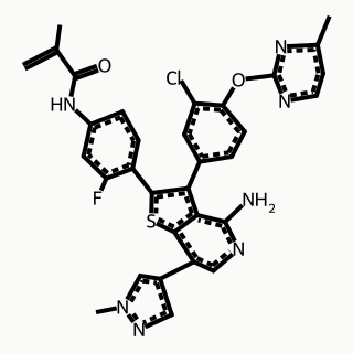 C=C(C)C(=O)Nc1ccc(-c2sc3c(-c4cnn(C)c4)cnc(N)c3c2-c2ccc(Oc3nccc(C)n3)c(Cl)c2)c(F)c1